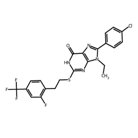 CCn1c(-c2ccc(Cl)cc2)nc2c(=O)[nH]c(SCCc3ccc(C(F)(F)F)cc3F)nc21